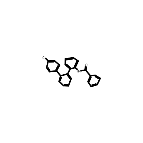 O=C(Nc1ccccc1-c1ccccc1-c1ccc(Cl)cc1)c1ccccc1